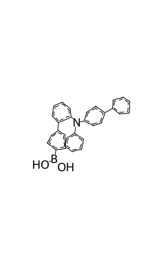 OB(O)c1ccc(-c2ccccc2N(c2ccccc2)c2ccc(-c3ccccc3)cc2)cc1